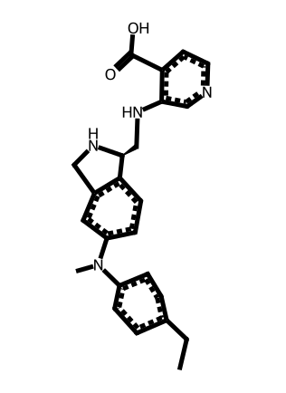 CCc1ccc(N(C)c2ccc3c(c2)CN[C@H]3CNc2cnccc2C(=O)O)cc1